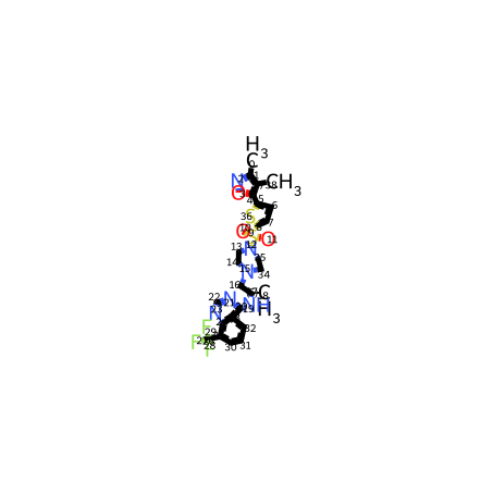 Cc1noc(-c2ccc(S(=O)(=O)N3CCN(C[C@H](C)Nc4ncnc5c(C(F)(F)F)cccc45)CC3)s2)c1C